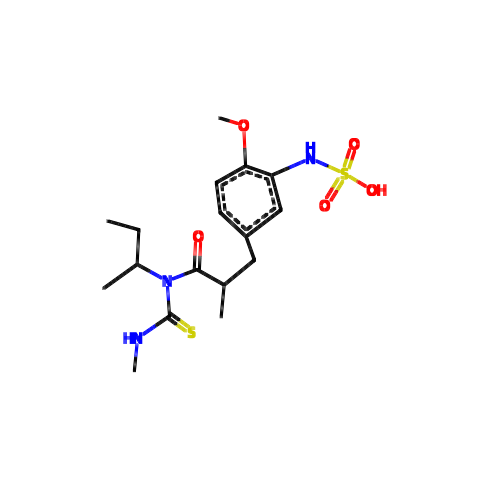 CCC(C)N(C(=O)C(C)Cc1ccc(OC)c(NS(=O)(=O)O)c1)C(=S)NC